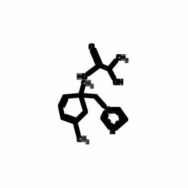 CC(O)C(=O)O.CC1=CC=CC(C)(Cn2ccnc2)C1